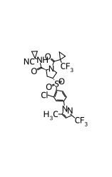 Cc1cc(C(F)(F)F)nn1-c1ccc(S(=O)(=O)[C@@H]2C[C@@H](C(=O)NC3(C#N)CC3)N(C(=O)C3(C(F)(F)F)CC3)C2)c(Cl)c1